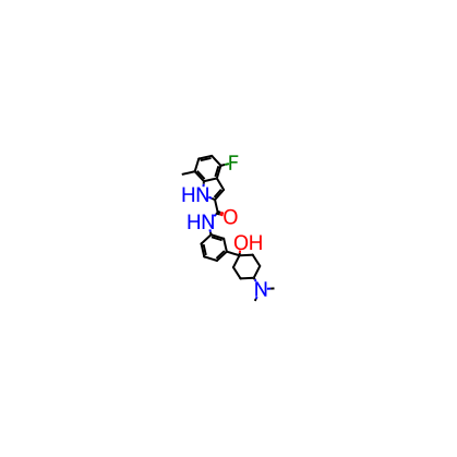 Cc1ccc(F)c2cc(C(=O)Nc3cccc(C4(O)CCC(N(C)C)CC4)c3)[nH]c12